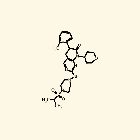 Cc1ccccc1C1Cc2cnc(NN3CCN(S(=O)(=O)C(C)C)CC3)nc2N(C2CCOCC2)C1=O